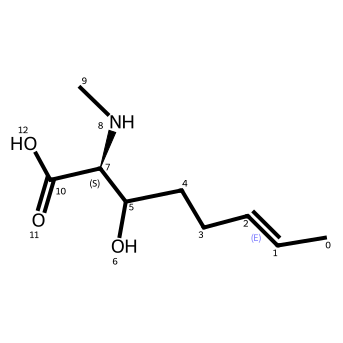 C/C=C/CCC(O)[C@H](NC)C(=O)O